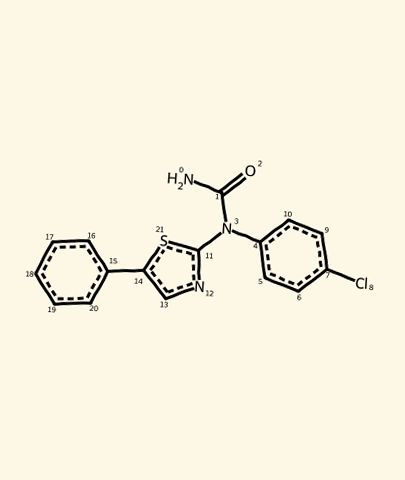 NC(=O)N(c1ccc(Cl)cc1)c1ncc(-c2ccccc2)s1